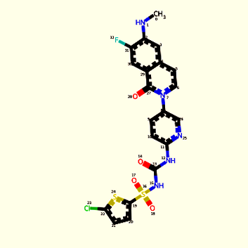 CNc1cc2ccn(-c3ccc(NC(=O)NS(=O)(=O)c4ccc(Cl)s4)nc3)c(=O)c2cc1F